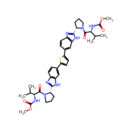 COC(=O)N[C@H](C(=O)N1CCC[C@H]1c1nc2ccc(-c3ccc(-c4ccc5nc([C@@H]6CCCN6C(=O)[C@@H](NC(=O)OC)C(C)C)[nH]c5c4)s3)cc2[nH]1)C(C)C